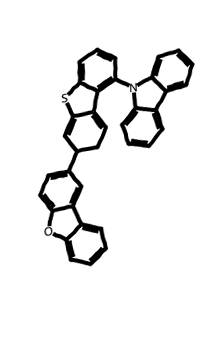 C1=c2sc3cccc(-n4c5ccccc5c5ccccc54)c3c2=CCC1c1ccc2oc3ccccc3c2c1